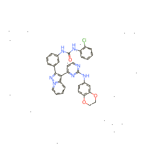 O=C(Nc1cccc(-c2nn3ccccc3c2-c2ccnc(Nc3ccc4c(c3)OCCO4)n2)c1)Nc1ccccc1Cl